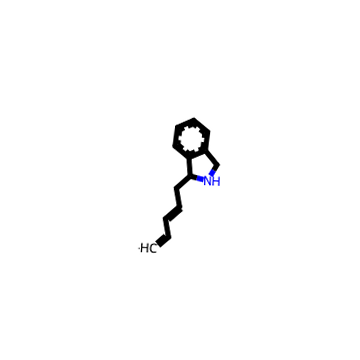 [CH]=C/C=C/CC1NCc2ccccc21